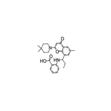 CCC(Nc1ccccc1C(=O)O)c1cc(C)cc2c(=O)cc(N3CCC(C)(C)CC3)oc12